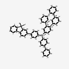 CC1(C)c2ccccc2-c2ccc(-c3ccc(N(c4ccc(-c5ccccc5)cc4)c4ccc(-c5cccc(-c6ccccc6)c5)c(-c5ccccc5)c4)cc3)cc21